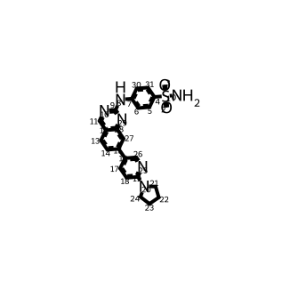 NS(=O)(=O)c1ccc(Nc2ncc3ccc(-c4ccc(N5CCCC5)nc4)cc3n2)cc1